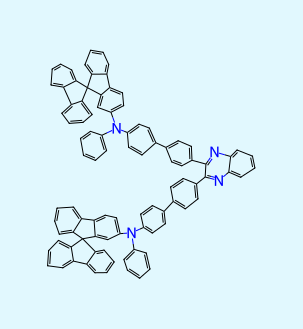 c1ccc(N(c2ccc(-c3ccc(-c4nc5ccccc5nc4-c4ccc(-c5ccc(N(c6ccccc6)c6ccc7c(c6)C6(c8ccccc8-c8ccccc86)c6ccccc6-7)cc5)cc4)cc3)cc2)c2ccc3c(c2)C2(c4ccccc4-c4ccccc42)c2ccccc2-3)cc1